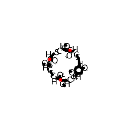 COC1C[C@@H]2CSC[C@H]3CC(OC)[C@@H](CSC[C@H]4CC(OC)[C@@H](CSC[C@H]5CC(OC)[C@@H](CSC[C@H]1CC2OC)CC5OC)CC4OC)CC3OC